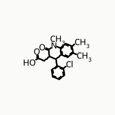 Cc1cc2c(cc1C)N(C)C(=O)C(CC(=O)O)C2c1ccccc1Cl